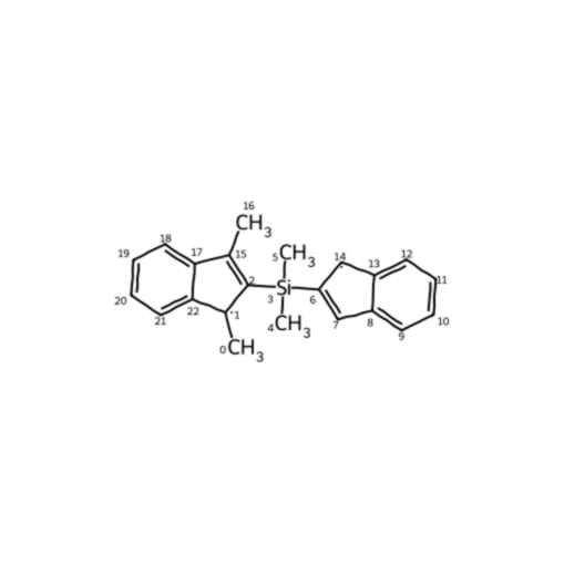 C[C]1C([Si](C)(C)C2=Cc3ccccc3[CH]2)=C(C)c2ccccc21